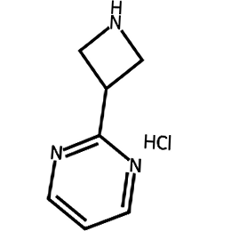 Cl.c1cnc(C2CNC2)nc1